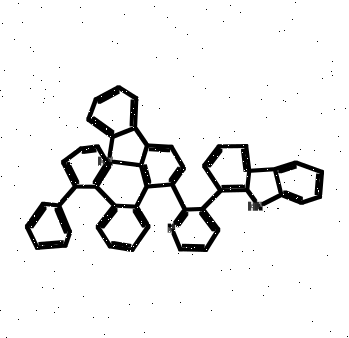 c1ccc(-c2ccccc2-c2ccccc2-c2c(-c3ncccc3-c3cccc4c3[nH]c3ccccc34)ccc3c2[nH]c2ccccc23)cc1